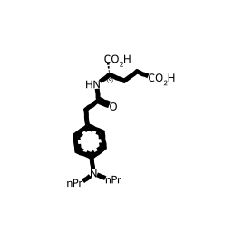 CCCN(CCC)c1ccc(CC(=O)N[C@@H](CCC(=O)O)C(=O)O)cc1